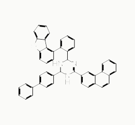 c1ccc(-c2ccc(C3NC(c4ccc5ccc6ccccc6c5c4)=NC(c4ccccc4-c4cccc5oc6ccccc6c45)N3)cc2)cc1